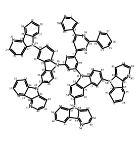 c1ccc(-c2cc(-c3cc(-n4c5ccc(-n6c7ccccc7c7ncccc76)cc5c5cc(-n6c7ccccc7c7ncccc76)ccc54)cc(-n4c5ccc(-n6c7ccccc7c7ncccc76)cc5c5cc(-n6c7ccccc7c7ncccc76)ccc54)c3)nc(-c3ccccc3)n2)cc1